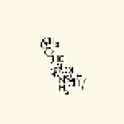 COc1ccc(C=Cc2nc(C(O)[C@@H](N)C(C)C)no2)cc1.Cl